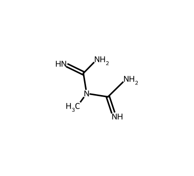 CN(C(=N)N)C(=N)N